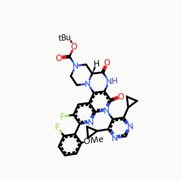 COc1cccc(F)c1-c1nc2c(cc1F)c1c(c(=O)n2-c2c(C3CC3)ncnc2C2CC2)NC(=O)[C@H]2CN(C(=O)OC(C)(C)C)CCN12